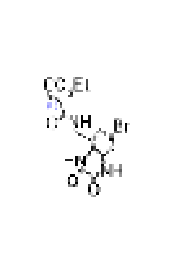 CCOC(=O)/C=C/C(=O)NCc1cc(Br)cc2[nH]c(=O)c(=O)[nH]c12